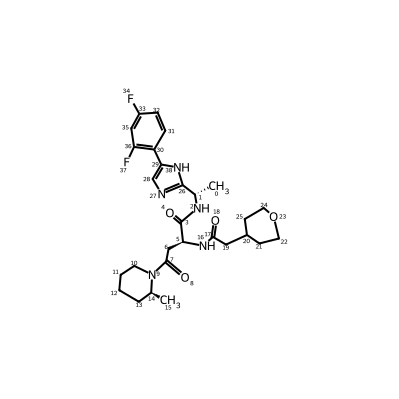 C[C@H](NC(=O)[C@H](CC(=O)N1CCCC[C@@H]1C)NC(=O)CC1CCOCC1)c1ncc(-c2ccc(F)cc2F)[nH]1